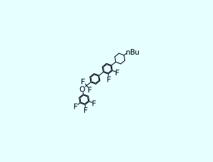 CCCCC1CCC(c2ccc(-c3ccc(C(F)(F)Oc4cc(F)c(F)c(F)c4)cc3)c(F)c2F)CC1